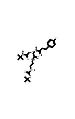 CC(C)(C)NC(=O)C[C@H](NC(=O)CCc1ccc(F)cc1)C(=O)NCCNC(=O)OC(C)(C)C